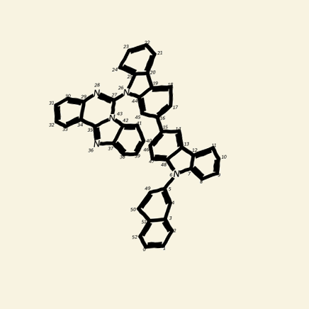 c1ccc2cc(-n3c4ccccc4c4cc(-c5ccc6c7ccccc7n(-c7nc8ccccc8c8nc9ccccc9n78)c6c5)ccc43)ccc2c1